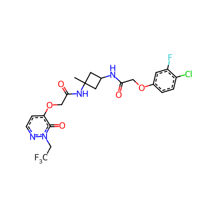 CC1(NC(=O)COc2ccnn(CC(F)(F)F)c2=O)CC(NC(=O)COc2ccc(Cl)c(F)c2)C1